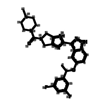 CC(Oc1ccc2[nH]nc(-c3nc4c([nH]3)CN(C(=O)N3CCN(C)CC3)C4)c2c1)c1cc(F)cc(F)c1